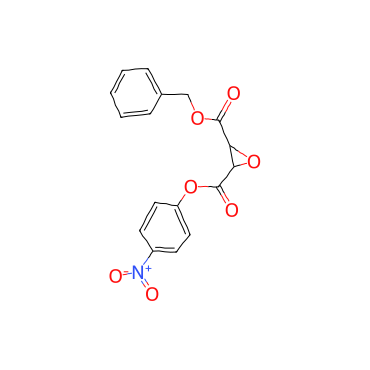 O=C(OCc1ccccc1)C1OC1C(=O)Oc1ccc([N+](=O)[O-])cc1